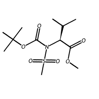 COC(=O)[C@H](C(C)C)N(C(=O)OC(C)(C)C)S(C)(=O)=O